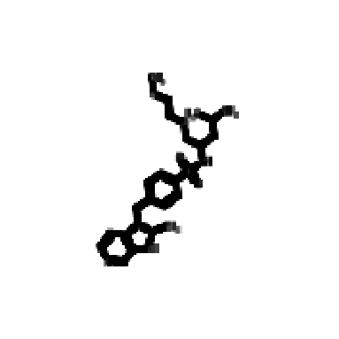 COCCOCC(CC(C)C)NS(=O)(=O)c1ccc(CN2c3ccncc3NC2C)cc1